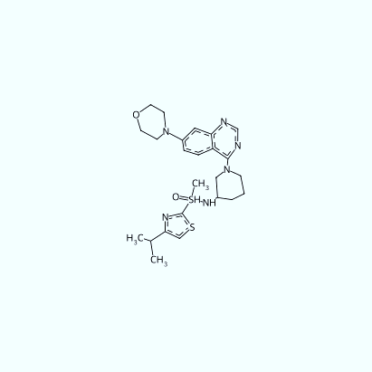 CC(C)c1csc([SH](C)(=O)NC2CCCN(c3ncnc4cc(N5CCOCC5)ccc34)C2)n1